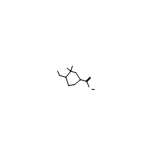 COC(=O)C1CCC(CO)C(C)(C)C1